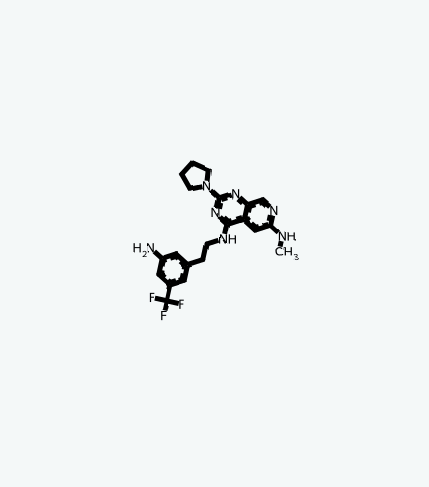 CNc1cc2c(NCCc3cc(N)cc(C(F)(F)F)c3)nc(N3CCCC3)nc2cn1